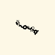 Cc1cc(C)cc(-c2nc(COc3ccc(CCCn4ccnc4)cc3)co2)c1